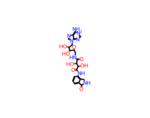 Nc1ncnc2c1ncn2C1OC(CNC(=O)C(O)C(O)C(=O)Nc2cccc3c2CNC3=O)C(O)C1O